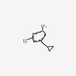 FC(F)(F)c1cc(C2CC2)cc(C(F)(F)F)n1